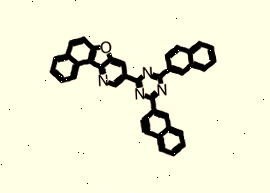 c1c(-c2nc(-c3ccc4ccccc4c3)nc(-c3cnc4c(c3)oc3ccc5ccccc5c34)n2)cc2ccccc2c#1